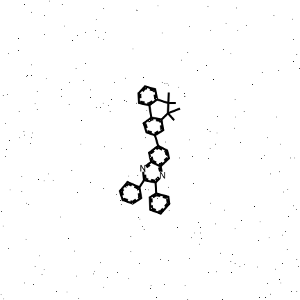 CC1(C)c2ccccc2-c2ccc(-c3ccc4nc(-c5ccccc5)c(-c5ccccc5)nc4c3)cc2C1(C)C